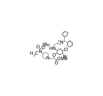 COC(=O)C(CN1CCC(N(C)C(=O)OC(C)(C)C)CC1)Oc1cc(Br)c(Cl)cc1NCC1CN(C(c2ccccc2)c2ccccc2)C1